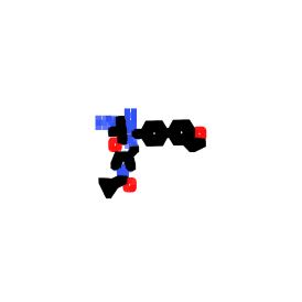 O=C(C1CC1)N1CC[C@@H](CN2C(=O)C3(CNC3)NC2c2ccc(-c3ccc4occc4c3)cc2)C1